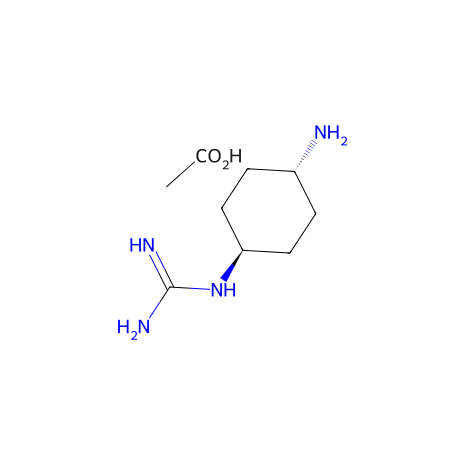 CC(=O)O.N=C(N)N[C@H]1CC[C@H](N)CC1